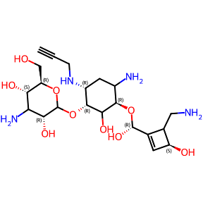 C#CCN[C@@H]1CC(N)[C@@H](O[C@@H](O)C2=C[C@H](O)C2CN)C(O)[C@@H]1OC1O[C@H](CO)[C@@H](O)C(N)[C@H]1O